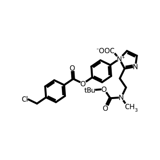 CN(CCC1=NC=C[N+]1(C(=O)[O-])c1ccc(OC(=O)c2ccc(CCl)cc2)cc1)C(=O)OC(C)(C)C